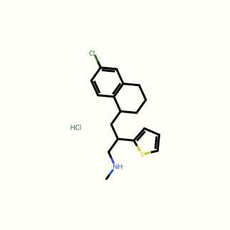 CNCC(CC1CCCc2cc(Cl)ccc21)c1cccs1.Cl